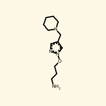 NCCCOn1cc(CN2CCCCC2)cn1